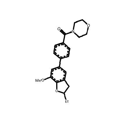 CCC1Cc2cc(-c3ccc(C(=O)N4CCOCC4)cc3)cc(OC)c2O1